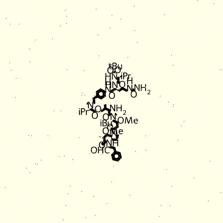 CC[C@H](C)[C@@H]([C@@H](CC(=O)N1CCC[C@H]1[C@H](OC)[C@@H](C)C(=O)N[C@H](C=O)Cc1ccccc1)OC)N(C)C(=O)[C@@H](N)C(C)COC(=O)[C@H](C(C)C)N(C)CCc1ccc(NC(=O)[C@H](CCCNC(N)=O)NC(=O)[C@@H](NC(=O)OC(C)(C)C)C(C)C)cc1